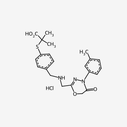 Cc1cccc(N2N=C(CNCc3ccc(SC(C)(C)C(=O)O)cc3)OCC2=O)c1.Cl